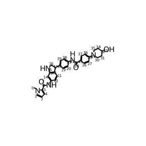 Cn1cccc1C(=O)Nc1ccc2c(c1)NCC2c1ccc(NC(=O)c2ccc(N3CCC(O)CC3)cc2)cc1